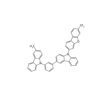 Cc1ccc2c(c1)c1ccccc1n2-c1cccc(-c2ccc3c(c2)c2ccccc2n3-c2ccc3c(c2)oc2cc(C(F)(F)F)ccc23)c1